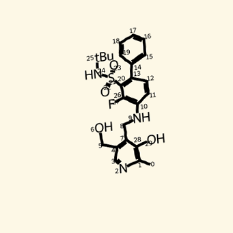 Cc1ncc(CO)c(CNc2ccc(-c3ccccc3)c(S(=O)(=O)NC(C)(C)C)c2F)c1O